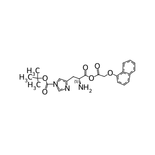 CC(C)(C)OC(=O)n1cnc(C[C@H](N)C(=O)OC(=O)COc2cccc3ccccc23)c1